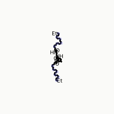 CC/C=C\C/C=C\C/C=C\C/C=C\C/C=C\C/C=C\CCC(=O)NCCNC(=O)c1ccc(C)cc1OC(=O)CC/C=C\C/C=C\C/C=C\C/C=C\C/C=C\C/C=C\CC